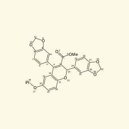 COC(=O)C1=C(c2ccc3c(c2)OCO3)c2cc(OC(C)C)ccc2OC1c1ccc2c(c1)OCO2